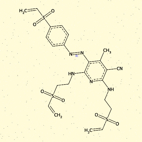 C=CS(=O)(=O)CCNc1nc(NCCS(=O)(=O)C=C)c(/N=N/c2ccc(S(=O)(=O)C=C)cc2)c(C)c1C#N